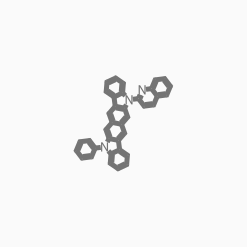 c1ccc(-n2c3ccccc3c3cc4cc5c(cc4cc32)c2ccccc2n5-c2ccc3ccccc3n2)cc1